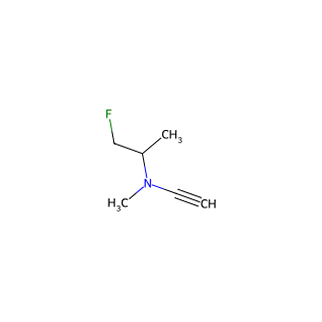 C#CN(C)C(C)CF